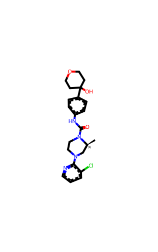 C[C@H]1CN(c2ncccc2Cl)CCN1C(=O)Nc1ccc(C2(O)CCOCC2)cc1